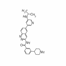 CC(C)Nc1cncc(-c2ccc3nnc(NC(=O)c4cccc(C5CCNCC5)c4)cc3c2)c1